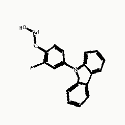 OBOc1ccc(-n2c3ccccc3c3ccccc32)cc1F